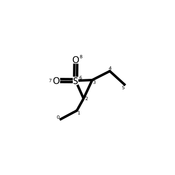 CCC1C(CC)S1(=O)=O